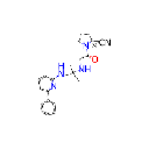 CC(C)(CNc1cccc(-c2ccccc2)n1)NCC(=O)N1CCC[C@H]1C#N